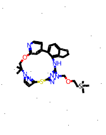 CC1(C)COc2cc(ccn2)-c2ccc3c(c2Nc2nc(nn2COCC[Si](C)(C)C)Sc2ccn1n2)CCC3